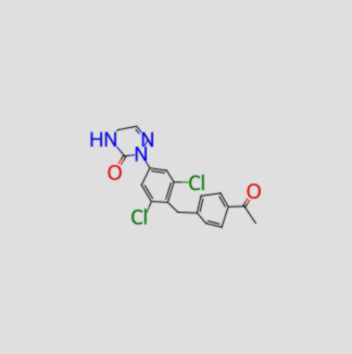 CC(=O)c1ccc(Cc2c(Cl)cc(N3N=CCNC3=O)cc2Cl)cc1